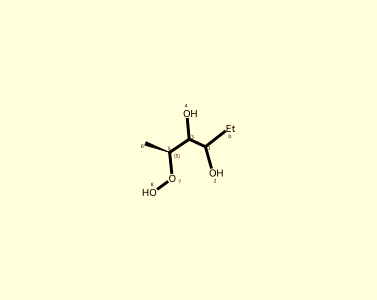 CCC(O)C(O)[C@H](C)OO